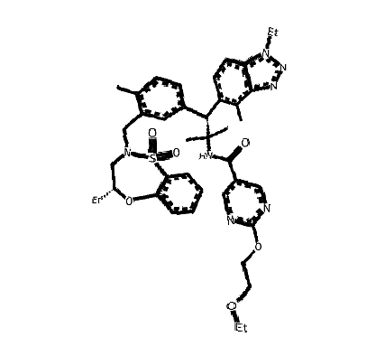 CCOCCOc1ncc(C(=O)NC(C)(C)[C@@H](c2ccc(C)c(CN3C[C@@H](CC)Oc4ccccc4S3(=O)=O)c2)c2ccc3c(nnn3CC)c2C)cn1